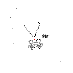 CCCCCCCCCCc1cccc(S(=O)(=O)[O-])c1Oc1c(CCCCCCCCCC)cccc1S(=O)(=O)[O-].[Na+].[Na+]